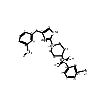 COc1cccc(Cc2csc(N3CCC(S(=O)(=O)c4cccc(Br)c4)CC3)n2)c1